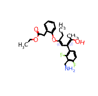 CCOC(=O)Cc1ccccc1O/C(=C/C(=C(\C)O)c1ccc(F)c(CN)c1F)CC